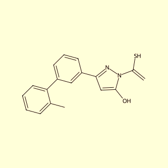 C=C(S)n1nc(-c2cccc(-c3ccccc3C)c2)cc1O